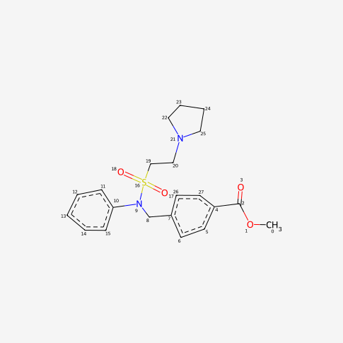 COC(=O)c1ccc(CN(c2ccccc2)S(=O)(=O)CCN2CCCC2)cc1